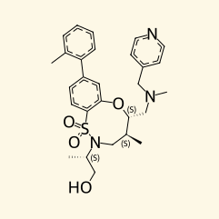 Cc1ccccc1-c1ccc2c(c1)O[C@H](CN(C)Cc1ccncc1)[C@@H](C)CN([C@@H](C)CO)S2(=O)=O